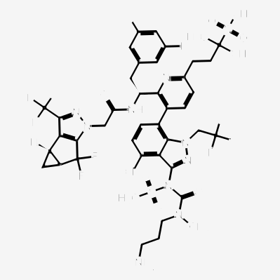 CN(CCCN)C(=O)N(c1nn(CC(F)(F)F)c2c(-c3ccc(CCC(C)(C)S(C)(=O)=O)nc3[C@H](Cc3cc(F)cc(F)c3)NC(=O)Cn3nc(C(F)(F)F)c4c3C(F)(F)C3C[C@H]43)ccc(Cl)c12)S(C)(=O)=O